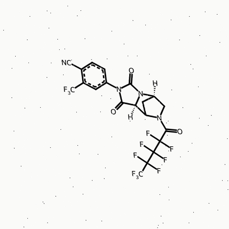 N#Cc1ccc(N2C(=O)[C@@H]3C4C[C@H](CN4C(=O)C(F)(F)C(F)(F)C(F)(F)C(F)(F)F)N3C2=O)cc1C(F)(F)F